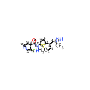 C/C=C\C(=C/C(=N)C(F)(F)F)c1ccc(NC(=O)c2ccncc2F)s1